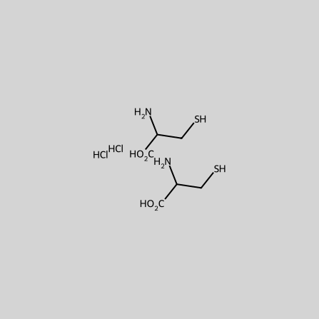 Cl.Cl.NC(CS)C(=O)O.NC(CS)C(=O)O